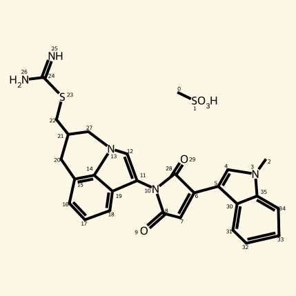 CS(=O)(=O)O.Cn1cc(C2=CC(=O)N(c3cn4c5c(cccc35)CC(CSC(=N)N)C4)C2=O)c2ccccc21